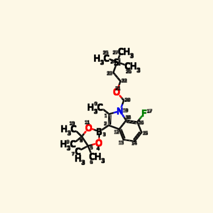 Cc1c(B2OC(C)(C)C(C)(C)O2)c2cccc(F)c2n1COCC[Si](C)(C)C